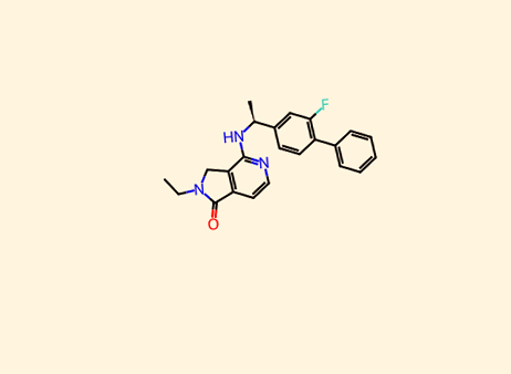 CCN1Cc2c(ccnc2N[C@@H](C)c2ccc(-c3ccccc3)c(F)c2)C1=O